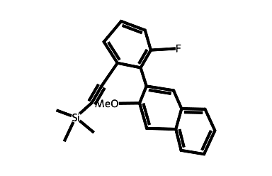 COc1cc2ccccc2cc1-c1c(F)cccc1C#C[Si](C)(C)C